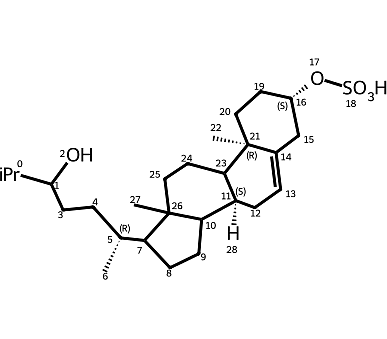 CC(C)C(O)CC[C@@H](C)C1CCC2[C@@H]3CC=C4C[C@@H](OS(=O)(=O)O)CC[C@]4(C)C3CCC21C